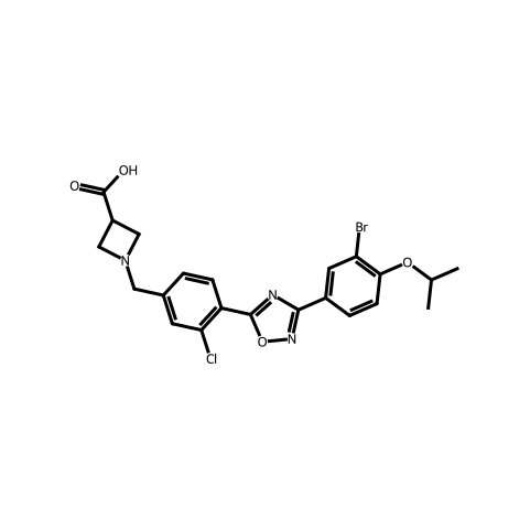 CC(C)Oc1ccc(-c2noc(-c3ccc(CN4CC(C(=O)O)C4)cc3Cl)n2)cc1Br